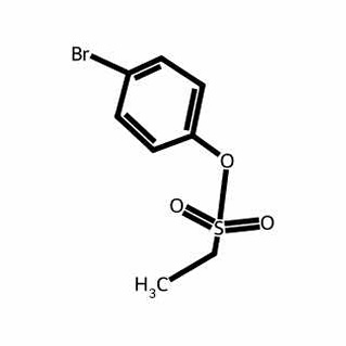 CCS(=O)(=O)Oc1ccc(Br)cc1